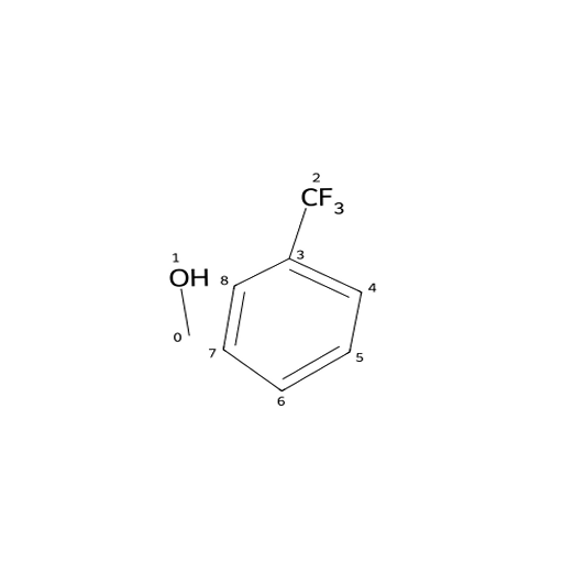 CO.FC(F)(F)c1ccccc1